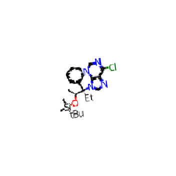 CC[C@@](c1ccccc1)([C@H](C)O[Si](C)(C)C(C)(C)C)n1cnc2c(Cl)ncnc21